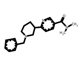 CN(C)C(=O)c1ccc(C2CCCN(Cc3ccccc3)C2)nc1